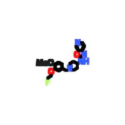 COc1ccc(CN2CCC(Nc3nc4ccncc4o3)CC2)cc1OCCF